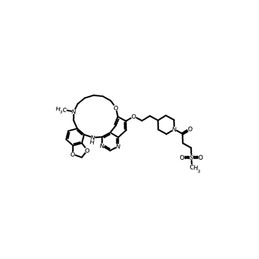 CN1CCCCCOc2cc3c(ncnc3cc2OCCC2CCN(C(=O)CCS(C)(=O)=O)CC2)Nc2c(ccc3c2OCO3)C1